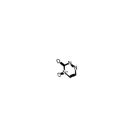 O=C1N=NC=[C][N+]1=O